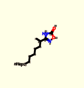 CCCCCCCCCCCCC(C)c1noc(=O)[nH]1